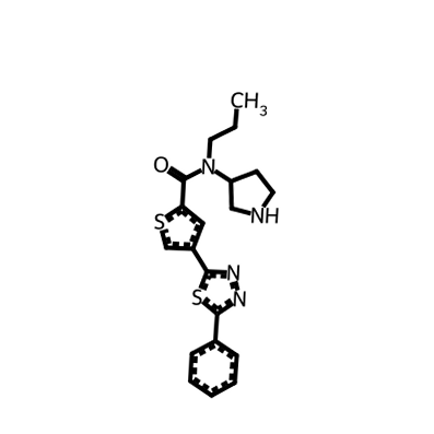 CCCN(C(=O)c1cc(-c2nnc(-c3ccccc3)s2)cs1)C1CCNC1